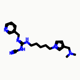 CN(C)Cc1ccn(CCCCCN/C(=N\Cc2cccnc2)NC#N)c1